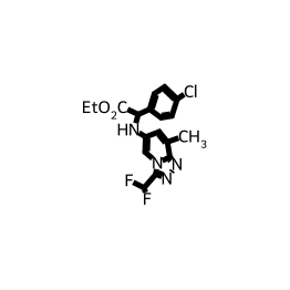 CCOC(=O)C(Nc1cc(C)c2nnc(C(F)F)n2c1)c1ccc(Cl)cc1